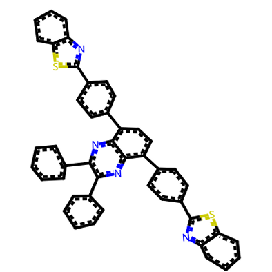 c1ccc(-c2nc3c(-c4ccc(-c5nc6ccccc6s5)cc4)ccc(-c4ccc(-c5nc6ccccc6s5)cc4)c3nc2-c2ccccc2)cc1